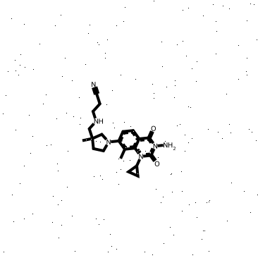 Cc1c(N2CCC(C)(CNCCC#N)C2)ccc2c(=O)n(N)c(=O)n(C3CC3)c12